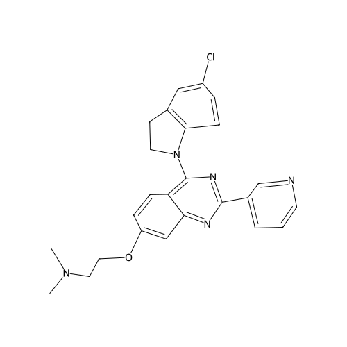 CN(C)CCOc1ccc2c(N3CCc4cc(Cl)ccc43)nc(-c3cccnc3)nc2c1